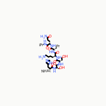 CC(=O)N[C@@H](Cc1cnc[nH]1)C(=O)N[C@@H](CO)C(=O)N[C@@H](CCO)C(=O)N[C@@H](CCCCN)C(=O)N[C@@H](CC(C)C)C(=O)N[C@@H](CCC(N)=O)C(=O)NC(C)C